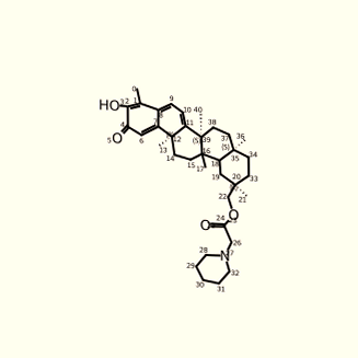 CC1=C(O)C(=O)C=C2C1=CC=C1[C@@]2(C)CCC2(C)C3C[C@](C)(COC(=O)CN4CCCCC4)CC[C@]3(C)CC[C@]12C